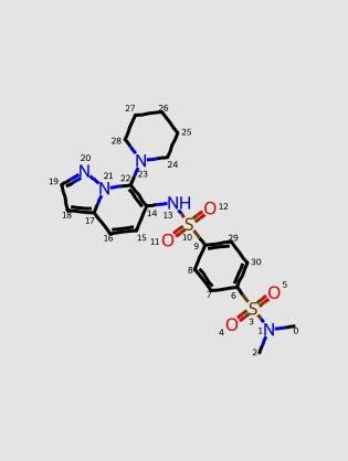 CN(C)S(=O)(=O)c1ccc(S(=O)(=O)Nc2ccc3ccnn3c2N2CCCCC2)cc1